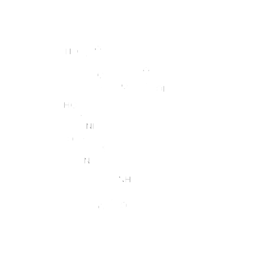 CC(C)(C)OC(=O)C1Cc2nc(C(=O)NC(C)(O)c3ccc(OCC(=O)O)c(OCC(=O)O)c3)sc2CN1